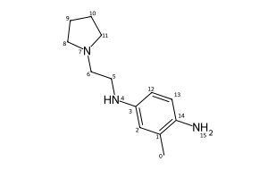 Cc1cc(NCCN2CCCC2)ccc1N